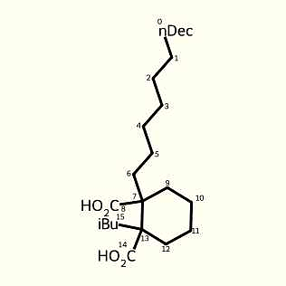 CCCCCCCCCCCCCCCCC1(C(=O)O)CCCCC1(C(=O)O)C(C)CC